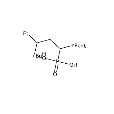 CCCCCC(CC(CC)CCCC)P(=O)(O)O